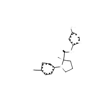 CC(C)(C)c1cc(NC(=O)[C@]2(C)CCCN2c2ccc(Cl)cc2)no1